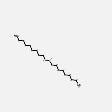 OCCCCCCCCSSCCCCCCCCO